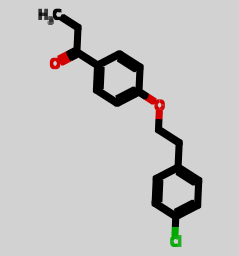 CCC(=O)c1ccc(OCCc2ccc(Cl)cc2)cc1